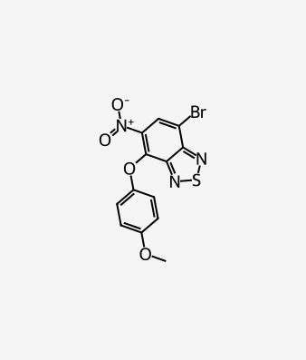 COc1ccc(Oc2c([N+](=O)[O-])cc(Br)c3nsnc23)cc1